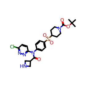 CC(C)(C)OC(=O)N1CCC(S(=O)(=O)c2ccc(N(C(=O)C3CNC3)c3ccc(Cl)nn3)cc2)CC1